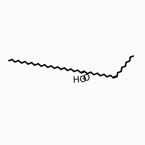 CCCCCCCC/C=C\CCCCCCCC(C=CCCCCCCCCCCCCCCCCCCCCCC)OO